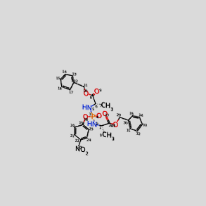 C[C@H](NP(=O)(N[C@@H](C)C(=O)OCc1ccccc1)Oc1ccc([N+](=O)[O-])cc1)C(=O)OCc1ccccc1